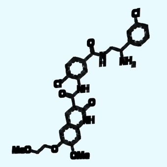 COCCOc1cc2cc(C(=O)Nc3cc(C(=O)NCC(N)c4cccc(Cl)c4)ccc3Cl)c(=O)[nH]c2cc1OC